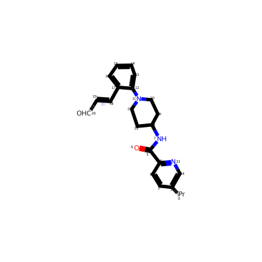 CC(C)c1ccc(C(=O)NC2CCN(c3ccccc3/C=C/C=O)CC2)nc1